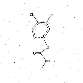 CNC(=O)Oc1ccc(Cl)c(Br)c1